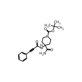 CC(C)(C)OC(=O)N1CCC(NC(=O)C#Cc2ccccc2)(C(N)=O)CC1